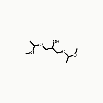 COC(C)OCC(O)COC(C)OC